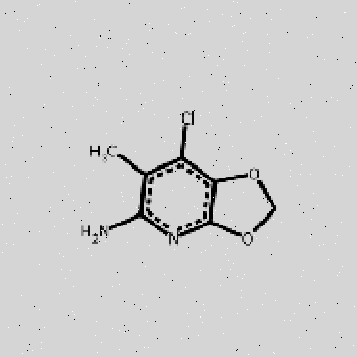 Cc1c(N)nc2c(c1Cl)OCO2